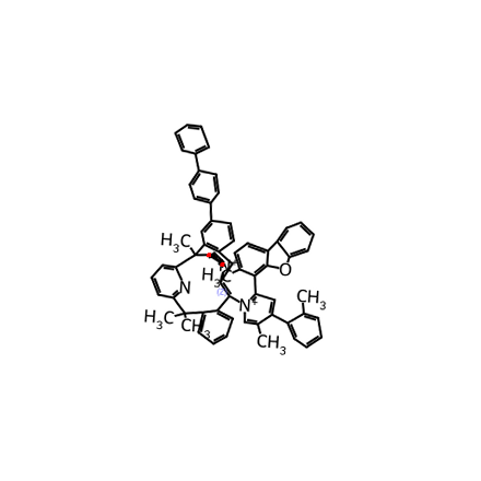 Cc1ccccc1-c1cc(-c2c(C)ccc3c2oc2ccccc23)[n+](/C2=C3/Cc4ccc(-c5ccc(-c6ccccc6)cc5)cc4C(C)(c4cccc(n4)C(C)(C)c4ccccc42)c2cccc[n+]23)cc1C